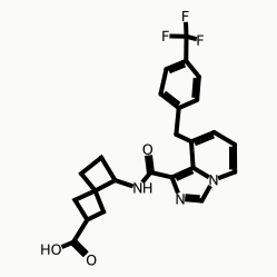 O=C(NC1CCC12CC(C(=O)O)C2)c1ncn2cccc(Cc3ccc(C(F)(F)F)cc3)c12